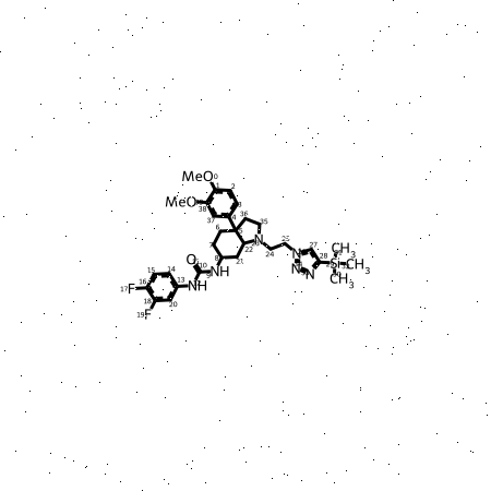 COc1ccc(C23CCC(NC(=O)Nc4ccc(F)c(F)c4)CC2N(CCn2cc([Si](C)(C)C)nn2)CC3)cc1OC